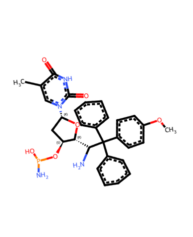 COc1ccc(C(c2ccccc2)(c2ccccc2)C(N)[C@H]2O[C@@H](n3cc(C)c(=O)[nH]c3=O)C[C@@H]2OP(N)O)cc1